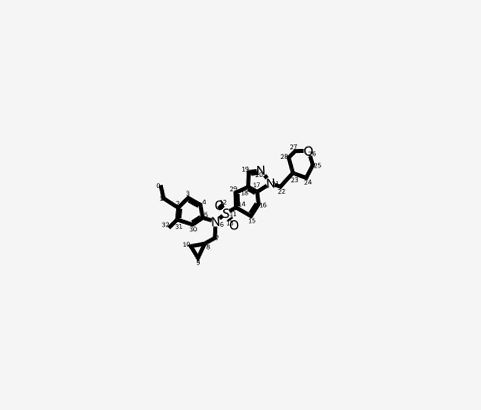 CCc1ccc(N(CC2CC2)S(=O)(=O)c2ccc3c(cnn3CC3CCOCC3)c2)cc1C